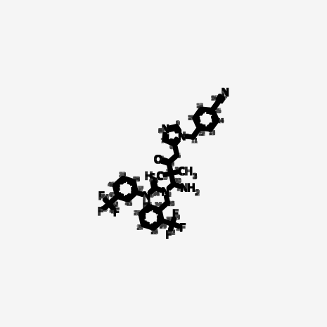 CC(C)(C(=O)Cc1cncn1Cc1ccc(C#N)cc1)C(N)N(Cc1ccccc1C(F)(F)F)C(=S)Nc1cccc(C(F)(F)F)c1